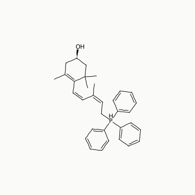 CC1=C(/C=C\C(C)=C/C[PH](c2ccccc2)(c2ccccc2)c2ccccc2)C(C)(C)C[C@H](O)C1